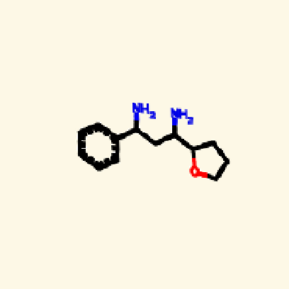 NC(CC(N)C1CCCO1)c1ccccc1